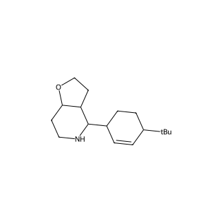 CC(C)(C)C1C=CC(C2NCCC3OCCC32)CC1